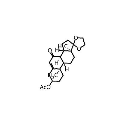 CC(=O)OC1CC[C@@]2(C)C(=CC(=O)[C@@H]3[C@@H]2CC[C@@]2(C)[C@H]3CCC23OCCO3)C1